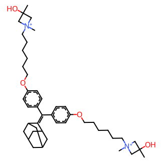 CC1(O)C[N+](C)(CCCCCCOc2ccc(C(=C3C4CC5CC(C4)CC3C5)c3ccc(OCCCCCC[N+]4(C)CC(C)(O)C4)cc3)cc2)C1